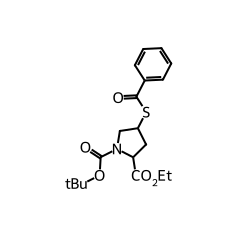 CCOC(=O)C1CC(SC(=O)c2ccccc2)CN1C(=O)OC(C)(C)C